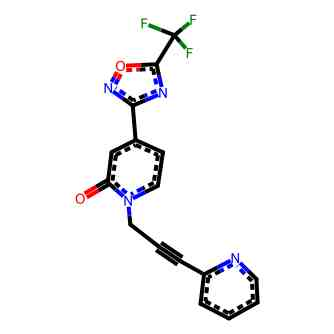 O=c1cc(-c2noc(C(F)(F)F)n2)ccn1CC#Cc1ccccn1